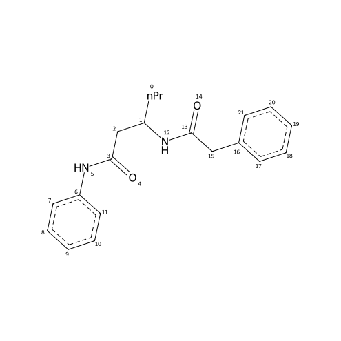 CCCC(CC(=O)Nc1ccccc1)NC(=O)Cc1ccccc1